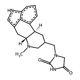 CN1CC(CN2CC(=O)NC2=O)C[C@@H]2c3cccc4[nH]cc(c34)C[C@H]21